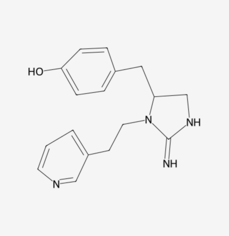 N=C1NCC(Cc2ccc(O)cc2)N1CCc1cccnc1